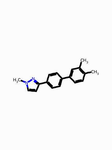 Cc1ccc(-c2ccc(-c3ccn(C)n3)cc2)cc1C